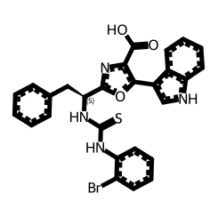 O=C(O)c1nc([C@H](Cc2ccccc2)NC(=S)Nc2ccccc2Br)oc1-c1c[nH]c2ccccc12